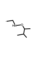 [CH2]CNOC(C)C(C)C